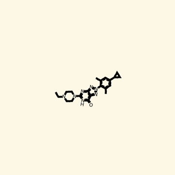 CCN1CCN(c2nc3nn(-c4c(C)cc(C5CC5)cc4C)nc3c(=O)[nH]2)CC1